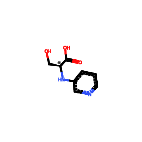 O=C(O)[C@H](CO)Nc1cccnc1